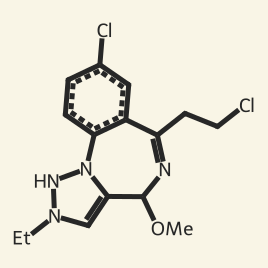 CCN1C=C2C(OC)N=C(CCCl)c3cc(Cl)ccc3N2N1